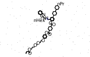 C=CC(=O)OCCCOCOCCOc1ccc(OC(=O)C2CCC(C(=O)Oc3ccc(C4CCC(C5CCC(CCC)CC5)CC4)cc3/C=N/N(CCCCCC)c3nc4ccccc4s3)CC2)cc1